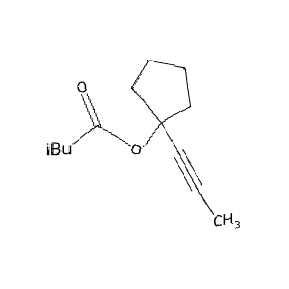 CC#CC1(OC(=O)C(C)CC)CCCC1